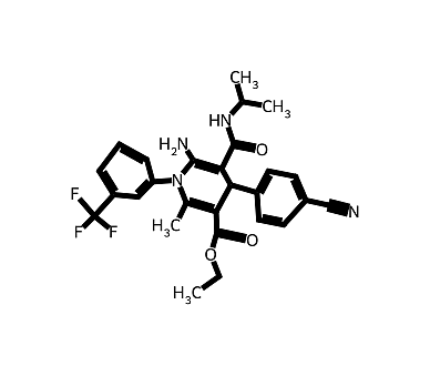 CCOC(=O)C1=C(C)N(c2cccc(C(F)(F)F)c2)C(N)=C(C(=O)NC(C)C)C1c1ccc(C#N)cc1